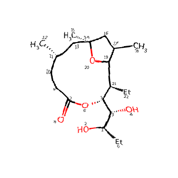 CC[C@@H](O)[C@@H](O)[C@@H]1OC(=O)CC[C@H](C)C[C@@]2(C)CC(C)C(O2)[C@H]1CC